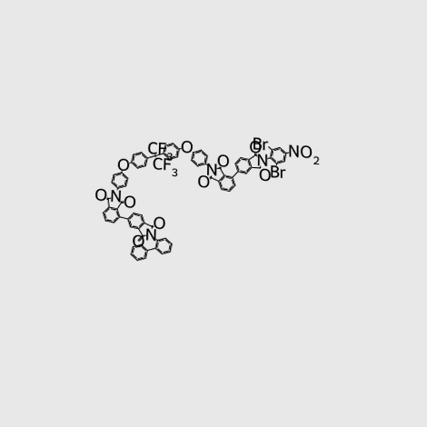 O=C1c2cccc(-c3ccc4c(c3)C(=O)N(c3ccccc3-c3ccccc3)C4=O)c2C(=O)N1c1ccc(Oc2ccc(C(c3ccc(Oc4ccc(N5C(=O)c6cccc(-c7ccc8c(c7)C(=O)N(c7c(Br)cc([N+](=O)[O-])cc7Br)C8=O)c6C5=O)cc4)cc3)(C(F)(F)F)C(F)(F)F)cc2)cc1